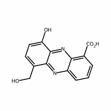 O=C(O)c1cccc2nc3c(CO)ccc(O)c3nc12